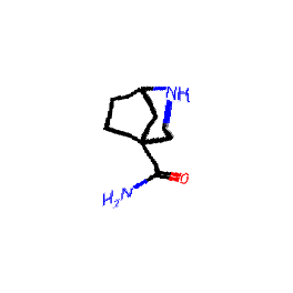 NC(=O)C12CCC(C1)NC2